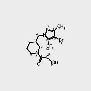 Cc1nn(CC2CCCN(C(=O)OC(C)(C)C)C2)c(C(F)(F)F)c1Br